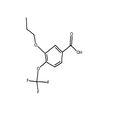 CCCOc1cc(C(=O)O)ccc1OC(F)(F)F